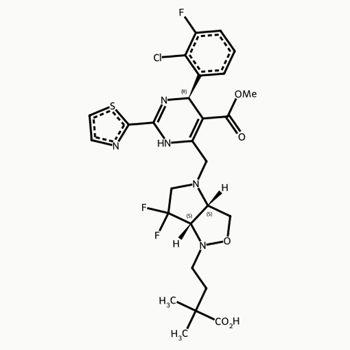 COC(=O)C1=C(CN2CC(F)(F)[C@@H]3[C@H]2CON3CCC(C)(C)C(=O)O)NC(c2nccs2)=N[C@H]1c1cccc(F)c1Cl